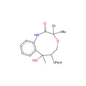 CCCCCC1COC(CC)(CCCC)C(=O)Nc2ccccc2C1(C)O